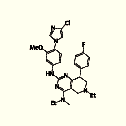 CCN1Cc2c(nc(Nc3ccc(-n4cnc(Cl)c4)c(OC)c3)nc2N(C)CC)C(c2ccc(F)cc2)C1